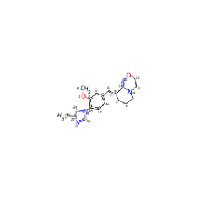 COc1cc(/C=C2\CCCN3CCON=C23)ccc1-n1cnc(C)c1